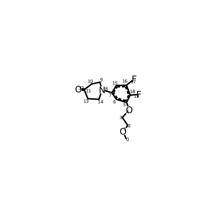 COCCOc1cc(N2CCC(=O)CC2)cc(F)c1F